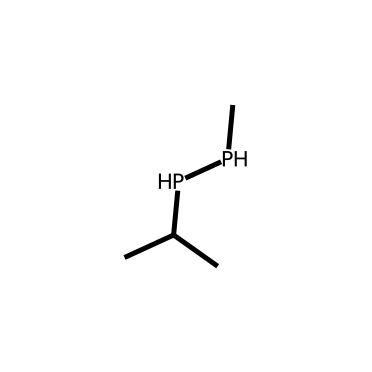 CPPC(C)C